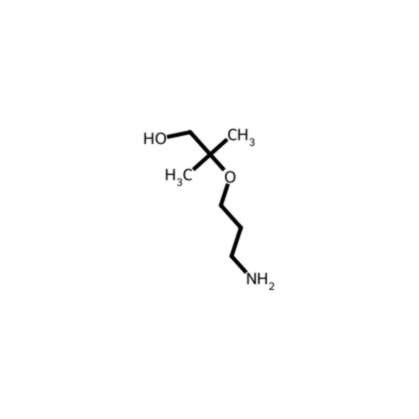 CC(C)(CO)OCCCN